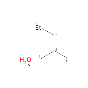 CCCC(C)C.O